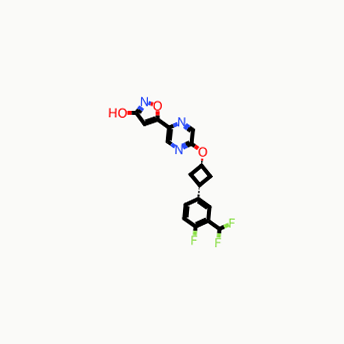 Oc1cc(-c2cnc(O[C@H]3C[C@@H](c4ccc(F)c(C(F)F)c4)C3)cn2)on1